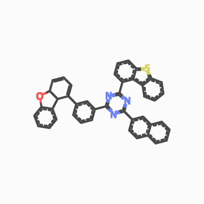 C1=CC2Oc3ccccc3C2C(c2cccc(-c3nc(-c4ccc5ccccc5c4)nc(-c4cccc5sc6ccccc6c45)n3)c2)=C1